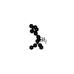 CC1(C)c2ccc(-c3ccc4sc5c(ccc6ccc7c8ccccc8n(-c8ccccc8)c7c65)c4c3)cc2-c2ccc(N(c3ccc(-c4ccccc4)cc3)c3ccc4ccccc4c3)cc21